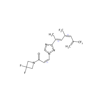 C=C(/C=C(\C=C(/C)c1ncn(/C=C\C(=O)N2CC(F)(F)C2)n1)C(F)(F)F)C(F)(F)F